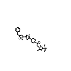 Cc1cc(C(F)(F)F)nn1CC(=O)N1CCC(c2nc(C3=NOC(Cc4ccccc4)C3)cs2)CC1